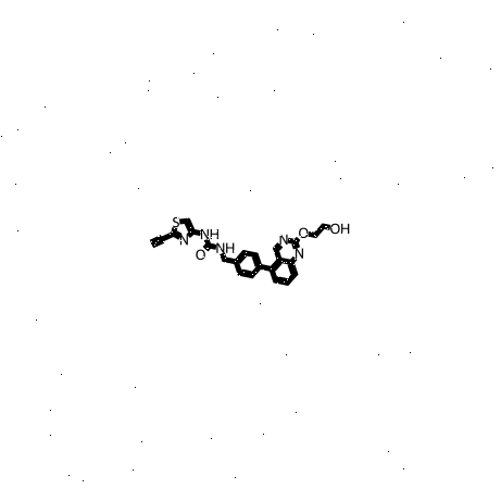 C#Cc1nc(NC(=O)NCc2ccc(-c3cccc4nc(OCCO)ncc34)cc2)cs1